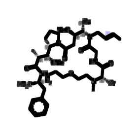 C/C=C/CN(C(=O)CNC(=O)[C@H](C(C)C)N(C)CCOCCN)[C@@H]([C@@H](C)CC)[C@@H](CC(=O)N1CCC[C@H]1[C@H](OC)[C@@H](C)C(=O)N[C@@H](Cc1ccccc1)C(=O)O)OC